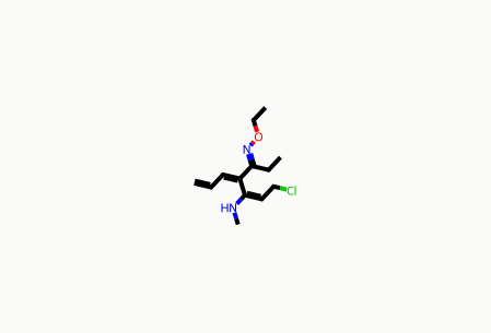 C=C/C=C(C(=C/CCl)\NC)/C(CC)=N/OCC